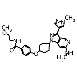 CNc1cc2c(cn1)c(-c1cnn(C)c1)nn2C1CCC(Oc2ccc(C(=O)NCCOC)cc2)CC1